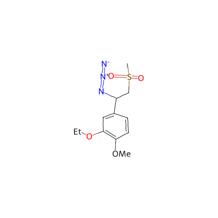 CCOc1cc(C(CS(C)(=O)=O)N=[N+]=[N-])ccc1OC